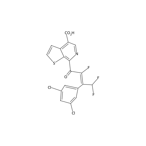 O=C(O)c1cnc(C(=O)/C(F)=C(\c2cc(Cl)cc(Cl)c2)C(F)F)c2sccc12